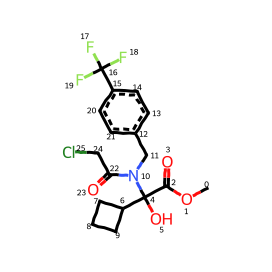 COC(=O)C(O)(C1CCC1)N(Cc1ccc(C(F)(F)F)cc1)C(=O)CCl